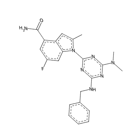 Cc1cc2c(C(N)=O)cc(F)cc2n1-c1nc(NCc2ccccc2)nc(N(C)C)n1